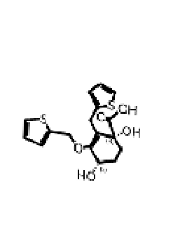 O=C(O)[C@@]1(O)CC[C@H](O)C(OCc2cccs2)=C1Cc1cccs1